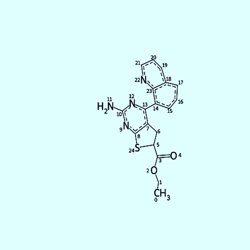 CCOC(=O)C1Cc2c(nc(N)nc2-c2cccc3cccnc23)S1